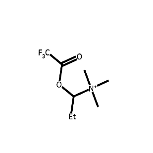 CCC(OC(=O)C(F)(F)F)[N+](C)(C)C